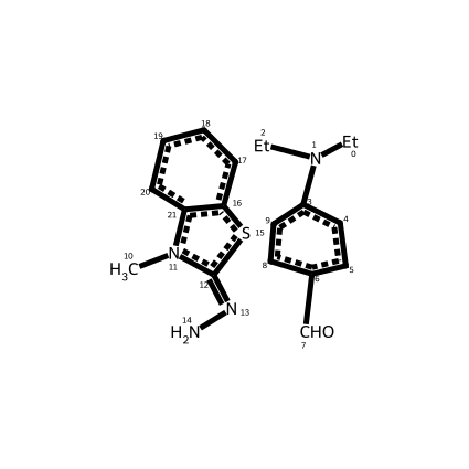 CCN(CC)c1ccc(C=O)cc1.Cn1c(=NN)sc2ccccc21